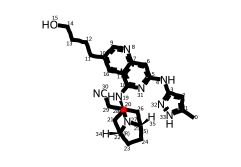 Cc1cc(Nc2cc3ncc(CCCCO)cc3c(N[C@@H]3C[C@H]4CC[C@@H](C3)N4CCC#N)n2)n[nH]1